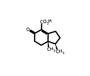 C[C@@H]1CCC2=C(C(=O)O)C(=O)CC[C@]21C